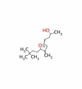 C=C1C[C@H](CCC(C)O)OC1CCC(C)(C)C